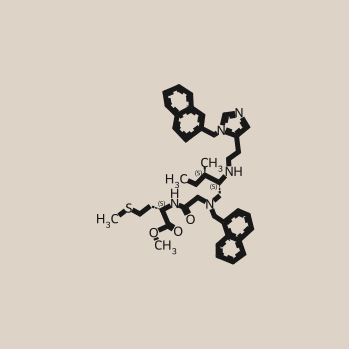 CC[C@H](C)[C@@H](CN(CC(=O)N[C@@H](CCSC)C(=O)OC)Cc1cccc2ccccc12)NCCc1cncn1Cc1ccc2ccccc2c1